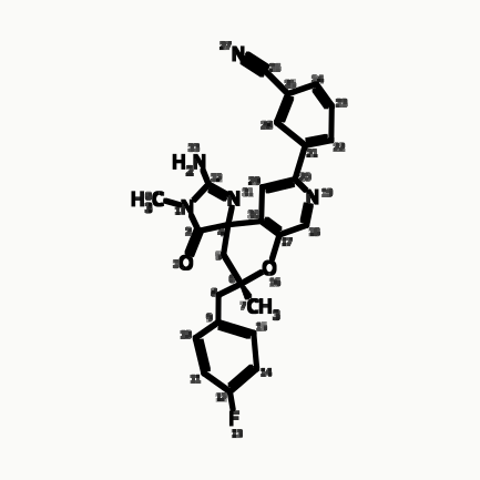 CN1C(=O)C2(C[C@@](C)(Cc3ccc(F)cc3)Oc3cnc(-c4cccc(C#N)c4)cc32)N=C1N